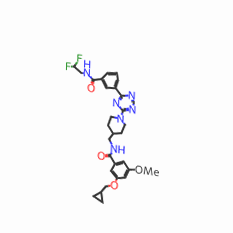 COc1cc(OCC2CC2)cc(C(=O)NCC2CCN(c3ncnc(-c4cccc(C(=O)NCC(F)F)c4)n3)CC2)c1